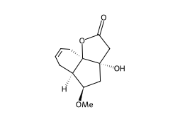 CO[C@@H]1C[C@]2(O)CC(=O)O[C@@]23CC=CC[C@H]13